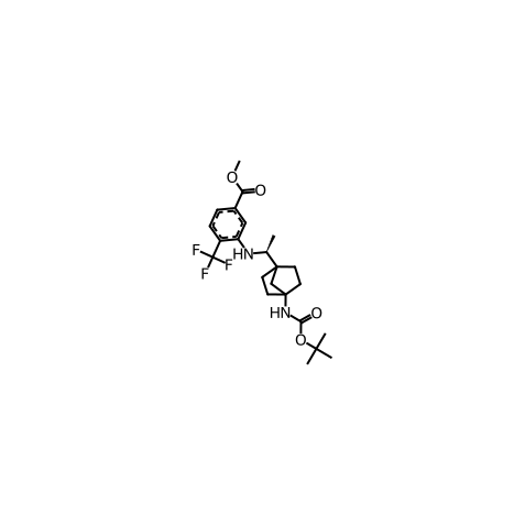 COC(=O)c1ccc(C(F)(F)F)c(N[C@@H](C)C23CCC(NC(=O)OC(C)(C)C)(CC2)C3)c1